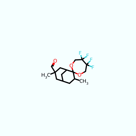 CC1CC2CC(CC(C)(C=O)C2)C12OCC(F)(F)C(F)(F)CO2